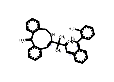 C=C1c2ccccc2/C=C(/C(C)(C)C(=C)/C=c2/cccc/c2=C(/N)c2ccccc2C)NCc2ccccc21